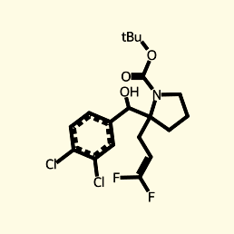 CC(C)(C)OC(=O)N1CCCC1(CC=C(F)F)C(O)c1ccc(Cl)c(Cl)c1